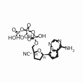 N#C[C@@]1(COP(=O)(O)OP(=O)(O)OP(=O)(O)O)CC[C@H](c2ccc3c(N)ncnn23)O1